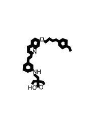 CCc1ccc(CCCCOc2ccc3ccc(C=Cc4cccc(NCCC(CC)(CC)C(=O)O)c4)nc3c2)cc1